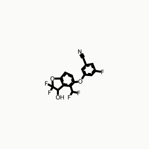 N#Cc1cc(F)cc(Oc2ccc3c(c2C(F)F)C(O)C(F)(F)O3)c1